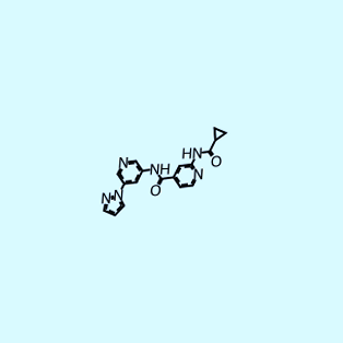 O=C(Nc1cncc(-n2cccn2)c1)c1ccnc(NC(=O)C2CC2)c1